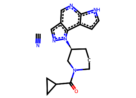 C#N.O=C(C1CC1)N1CCC[C@H](n2ncc3cnc4[nH]ccc4c32)C1